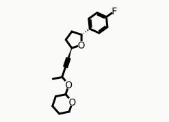 CC(C#C[C@H]1CC[C@H](c2ccc(F)cc2)O1)OC1CCCCO1